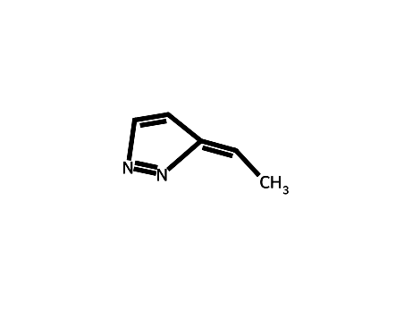 CC=C1C=CN=N1